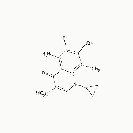 Cc1c(C(C)(C)C)c(F)c(N)c2c(=O)c(C(=O)O)cn(C3CC3)c12